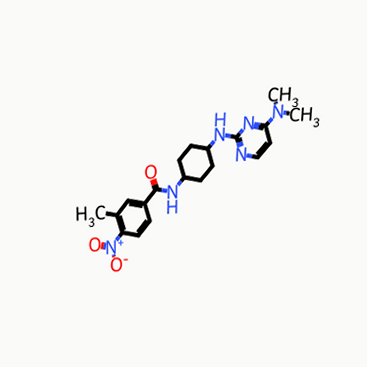 Cc1cc(C(=O)NC2CCC(Nc3nccc(N(C)C)n3)CC2)ccc1[N+](=O)[O-]